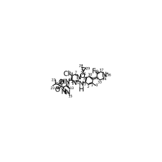 Cc1cc(Nc2ncc(Cl)c(Nc3cn(C)nc3S(=O)(=O)C(C)C)n2)c(OC2CC2)cc1C1CCN(C)CC1F